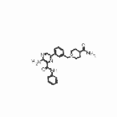 NC(=O)C1CCN(Cc2cccc(-c3cnc(N)c(C(=O)Nc4ccccc4)n3)c2)CC1